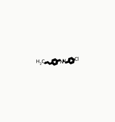 C=CCCc1ccc(C=NN=Cc2ccc(Cl)cc2)cc1